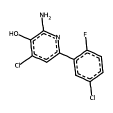 Nc1nc(-c2cc(Cl)ccc2F)cc(Cl)c1O